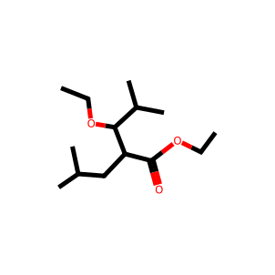 CCOC(=O)C(CC(C)C)C(OCC)C(C)C